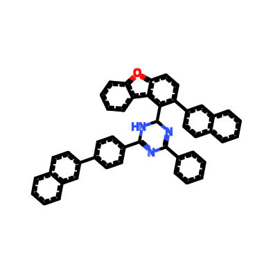 c1ccc(C2=NC(c3c(-c4ccc5ccccc5c4)ccc4oc5ccccc5c34)NC(c3ccc(-c4ccc5ccccc5c4)cc3)=N2)cc1